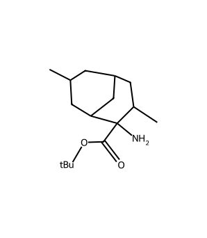 CC1CC2CC(C)C(N)(C(=O)OC(C)(C)C)C(C1)C2